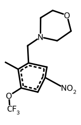 Cc1c(CN2CCOCC2)cc([N+](=O)[O-])cc1OC(F)(F)F